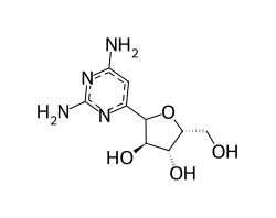 Nc1cc(C2O[C@H](CO)[C@H](O)[C@H]2O)nc(N)n1